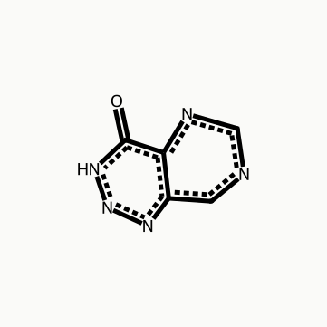 O=c1[nH]nnc2cncnc12